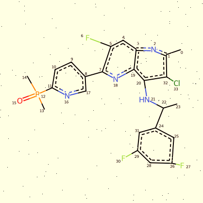 Cc1nc2cc(F)c(-c3ccc(P(C)(C)=O)nc3)nc2c(NC(C)c2cc(F)cc(F)c2)c1Cl